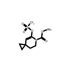 CC(C)(C)OC(=O)N1CCC2(C=C1OS(=O)(=O)C(F)(F)F)CC2